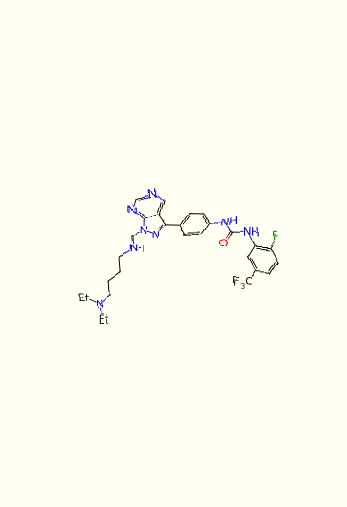 CCN(CC)CCCCNCn1nc(-c2ccc(NC(=O)Nc3cc(C(F)(F)F)ccc3F)cc2)c2cncnc21